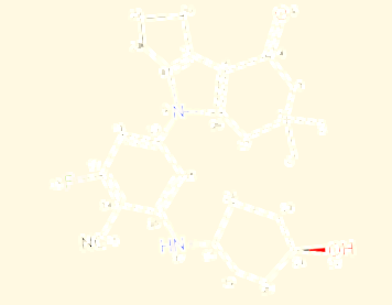 CC1(C)CC(=O)c2c3c(n(-c4cc(F)c(C#N)c(N[C@H]5CC[C@H](O)CC5)c4)c2C1)CCC3